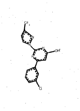 Oc1cc(-c2cccc(Cl)c2)nc(-n2ccc(C(F)(F)F)n2)n1